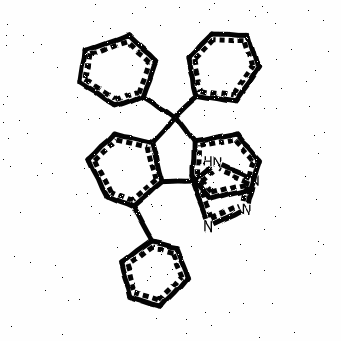 c1ccc(-c2cccc(C(c3ccccc3)(c3ccccc3)c3ccccc3)c2-c2nnn[nH]2)cc1